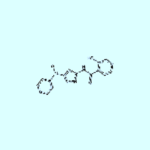 O=C(Nc1ncc([S+]([O-])c2ccccc2)s1)c1ccccc1O